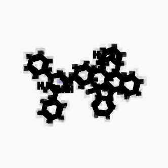 CC1(C)c2ccccc2-c2c1c1c(c3ccccc23)C2=CC=C[C@H](C2)N1c1ccc(/C(=N/Cc2ccccc2)NC(N)c2ccccc2)cc1